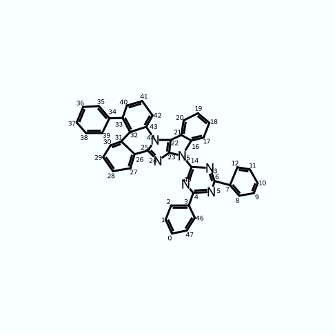 c1ccc(-c2nc(-c3ccccc3)nc(-n3c4ccccc4c4c3nc3c5ccccc5c5c(-c6ccccc6)cccc5n34)n2)cc1